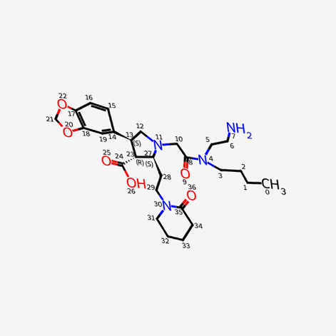 CCCCN(CCN)C(=O)CN1C[C@H](c2ccc3c(c2)OCO3)[C@@H](C(=O)O)[C@@H]1CCN1CCCCC1=O